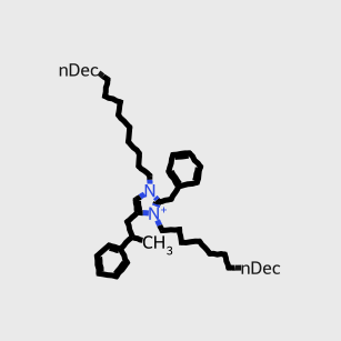 CCCCCCCCCCCCCCCCCCCn1cc(CC(C)c2ccccc2)[n+](CCCCCCCCCCCCCCCCC)c1Cc1ccccc1